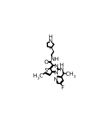 Cc1cc2nc(N[C@@H](C)c3cncc(F)c3)nc(C(=O)NCC[C@H]3CCNC3)c2s1